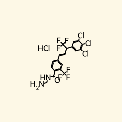 Cl.NCNC(=O)c1ccc(C=CC(c2cc(Cl)c(Cl)c(Cl)c2)C(F)(F)F)cc1C(F)(F)F